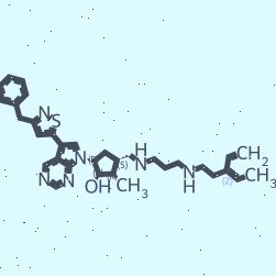 C=C/C(=C\C)CCNCCCNC[C@H]1C[C@@H](n2cc(-c3cc(Cc4ccccc4)ns3)c3cncnc32)[C@H](O)[C@@H]1C